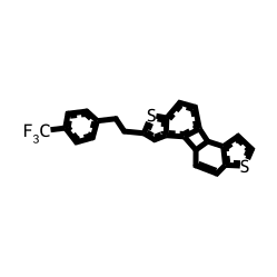 FC(F)(F)c1ccc(CCc2cc3c4c(ccc3s2)C2c3ccsc3C=CC42)cc1